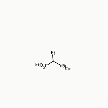 CCCCC(CC)C(=O)OCC.[Cu]